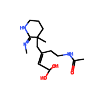 C/N=C1/NCCCC1(C)C/C(=C/C(O)O)CCNC(C)=O